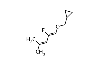 CC(C)=C/C(F)=C/OCC1CC1